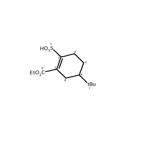 CCOC(=O)C1=C(S(=O)(=O)O)CCC(C(C)(C)C)C1